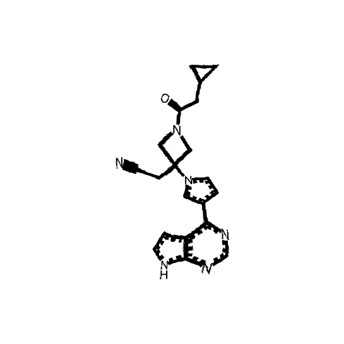 N#CCC1(n2ccc(-c3ncnc4[nH]ccc34)c2)CN(C(=O)CC2CC2)C1